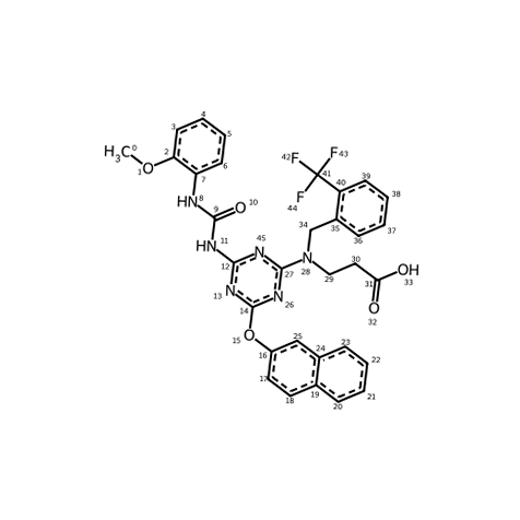 COc1ccccc1NC(=O)Nc1nc(Oc2ccc3ccccc3c2)nc(N(CCC(=O)O)Cc2ccccc2C(F)(F)F)n1